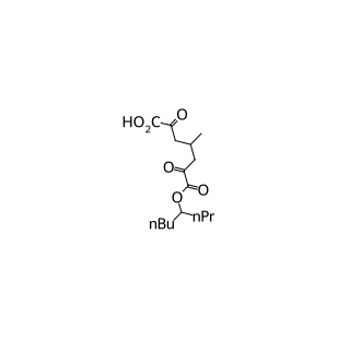 CCCCC(CCC)OC(=O)C(=O)CC(C)CC(=O)C(=O)O